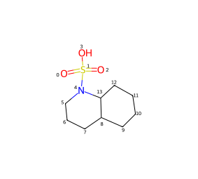 O=S(=O)(O)N1CCCC2CCCCC21